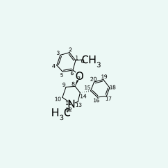 Cc1ccccc1O[C@@H]1CCN(C)C[C@H]1c1ccccc1